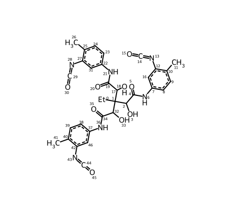 CCC(C(O)C(=O)Nc1ccc(C)c(N=C=O)c1)(C(O)C(=O)Nc1ccc(C)c(N=C=O)c1)C(O)C(=O)Nc1ccc(C)c(N=C=O)c1